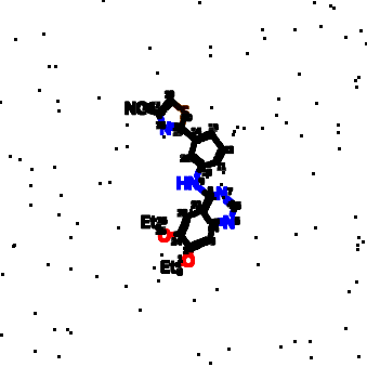 CCOc1cc2ncnc(Nc3cccc(-c4nc(C#N)cs4)c3)c2cc1OCC